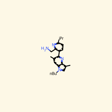 CCCCn1cc(C)c2nc(-c3ccc(C(C)C)nc3CN)c(C)cc21